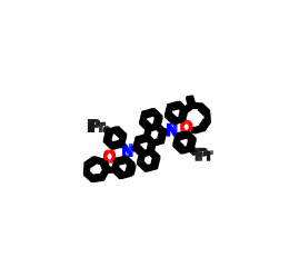 C=C1/C=C\C=C/COc2c1cccc2N(c1ccc(C(C)C)cc1)c1cc2c3c(c(N(c4ccc(C(C)C)cc4)c4c#ccc5c6c(oc45)C=CCC=C6)cc2c2ccccc12)CCC=C3